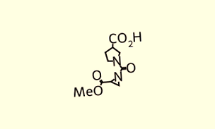 COC(=O)C1CN1C(=O)N1CCC(C(=O)O)C1